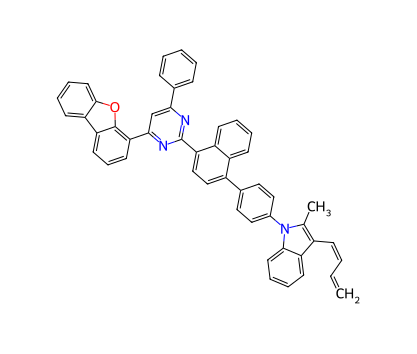 C=C/C=C\c1c(C)n(-c2ccc(-c3ccc(-c4nc(-c5ccccc5)cc(-c5cccc6c5oc5ccccc56)n4)c4ccccc34)cc2)c2ccccc12